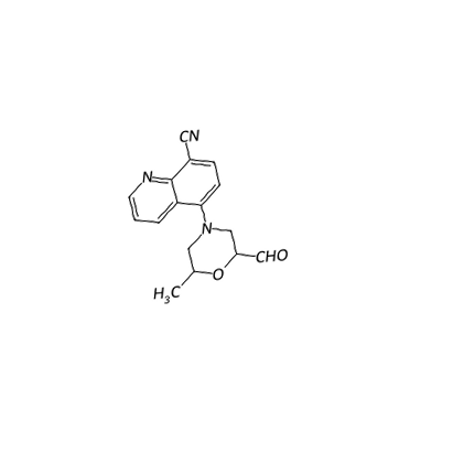 CC1CN(c2ccc(C#N)c3ncccc23)CC(C=O)O1